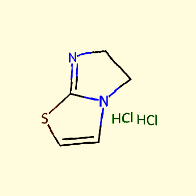 C1=CN2CCN=C2S1.Cl.Cl